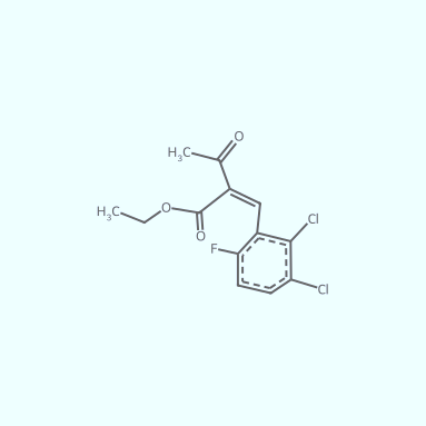 CCOC(=O)/C(=C\c1c(F)ccc(Cl)c1Cl)C(C)=O